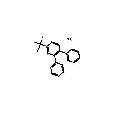 FC(F)(F)c1ncc(-c2ccccc2)c(-c2ccccc2)n1.N